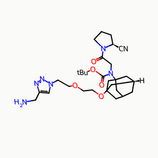 CC(C)(C)OC(=O)N(CC(=O)N1CCC[C@H]1C#N)C12CC3C[C@H](CC(OCCOCCn4cc(CN)nn4)(C3)C1)C2